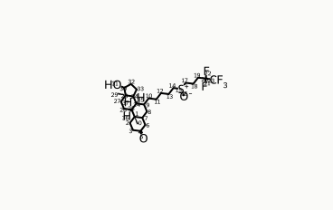 C[C@]12CCC(=O)CC1CC(CCCCC[S+]([O-])CCCC(F)(F)C(F)(F)F)[C@@H]1[C@H]2CC[C@]2(C)C(O)CC[C@@H]12